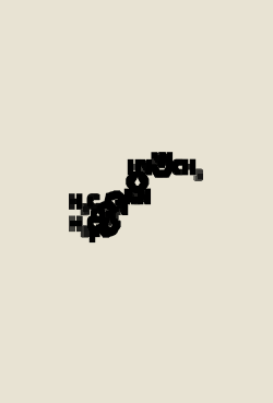 Cc1ccc(Nc2ccc3c(c2)ncn3-c2ccc(C(C)O)c(N3CC4CC3C(C)(F)C4)n2)nn1